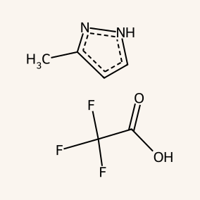 Cc1cc[nH]n1.O=C(O)C(F)(F)F